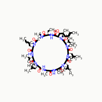 C/C=C/C[C@@H](C)[C@@H](O)[C@H]1C(=O)N[C@@H](CC)C(=O)N(C)CC(=O)N(C)[C@@H](CCCC)C(=O)N[C@@H](C(C)C)C(=O)N(C)[C@@H](CC(C)C)C(=O)N[C@@H](C)C(=O)N[C@H](C)C(=O)N(C)[C@@H](CC(C)C)C(=O)N(C)[C@@H](CC(C)C)C(=O)N(C)[C@@H](C(C)C)C(=O)N1C